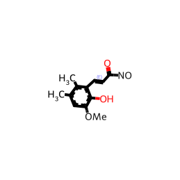 COc1cc(C)c(C)c(/C=C/C(=O)N=O)c1O